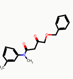 Cc1cccc(N(C)C(=O)CC(=O)COCc2ccccc2)c1